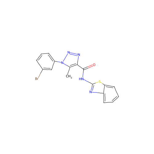 Cc1c(C(=O)Nc2nc3ccccc3s2)nnn1-c1cccc(Br)c1